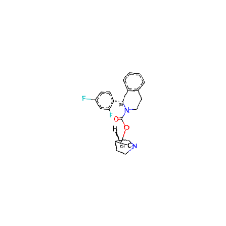 O=C(O[C@@H]1CN2CCC1CC2)N1CCc2ccccc2[C@H]1c1ccc(F)cc1F